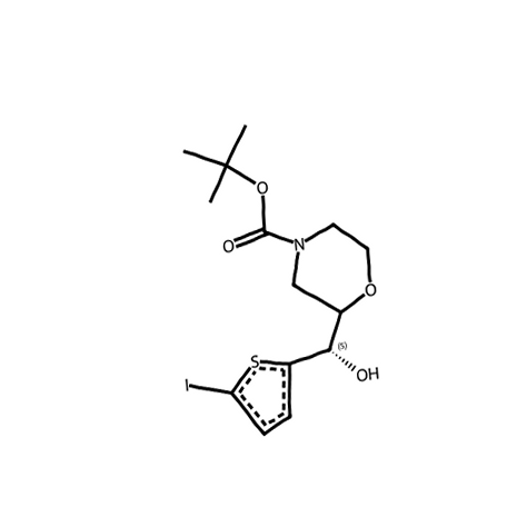 CC(C)(C)OC(=O)N1CCOC([C@H](O)c2ccc(I)s2)C1